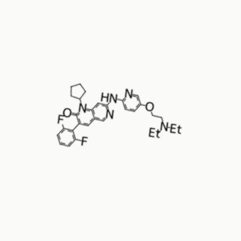 CCN(CC)CCOc1ccc(Nc2cc3c(cn2)cc(-c2c(F)cccc2F)c(=O)n3C2CCCC2)nc1